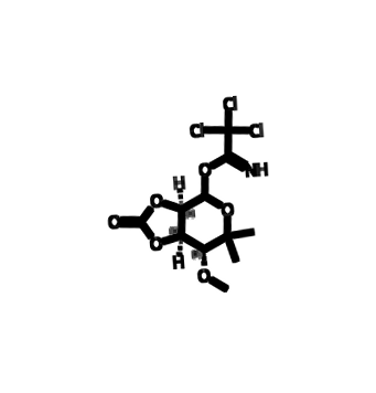 CO[C@@H]1[C@H]2OC(=O)O[C@H]2C(OC(=N)C(Cl)(Cl)Cl)OC1(C)C